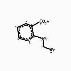 CC(C)CNc1ncccc1C(=O)O